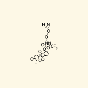 NCCOCCOCCNC(=O)C(OC(=O)C(F)(F)F)Oc1cccc2c1C(=O)N(C1CCC(=O)NC1=O)C2=O